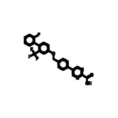 O=C(O)c1ncc(-c2ccc(COc3ccc(-c4ccccc4F)c(C(F)(F)F)c3)cc2)cn1